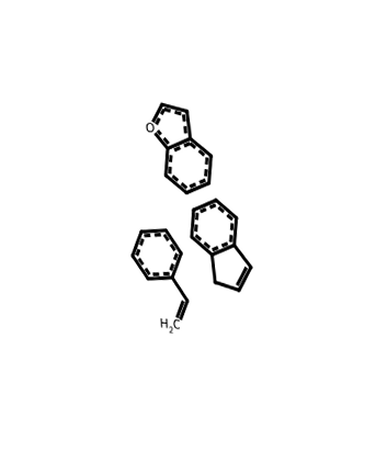 C1=Cc2ccccc2C1.C=Cc1ccccc1.c1ccc2occc2c1